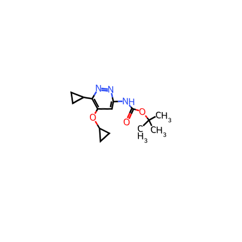 CC(C)(C)OC(=O)Nc1cc(OC2CC2)c(C2CC2)nn1